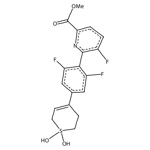 COC(=O)c1ccc(F)c(-c2c(F)cc(C3=CCS(O)(O)CC3)cc2F)n1